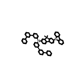 CC1(C)c2cc(N(c3cccc(-c4cccc(-c5ccccc5)c4)c3)c3cccc(-c4cccc(-c5ccccc5)c4)c3)ccc2-c2ccc(-n3c4ccccc4c4ccccc43)cc21